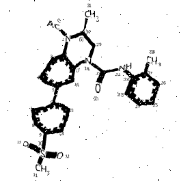 CC(=O)N1c2ccc(-c3ccc(S(C)(=O)=O)cc3)cc2N(C(=O)Nc2ccccc2C)C[C@@H]1C